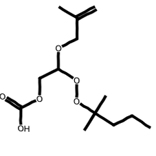 C=C(C)COC(COC(=O)O)OOC(C)(C)CCC